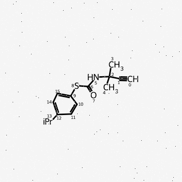 C#CC(C)(C)NC(=O)Sc1ccc(C(C)C)cc1